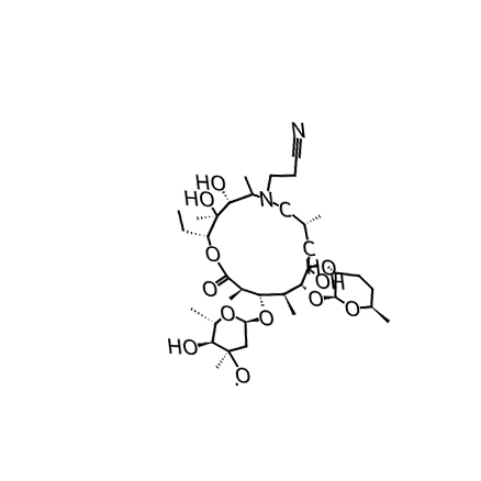 CC[C@H]1OC(=O)[C@H](C)[C@@H](O[C@H]2C[C@@](C)(OC)[C@@H](O)[C@H](C)O2)[C@H](C)[C@@H](O[C@@H]2O[C@H](C)CC[C@H]2O)C(C)(O)C[C@@H](C)CN(CCC#N)C(C)[C@@H](O)[C@]1(C)O